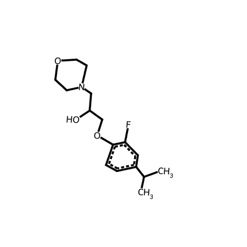 CC(C)c1ccc(OCC(O)CN2CCOCC2)c(F)c1